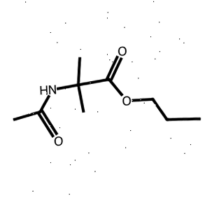 CCCOC(=O)C(C)(C)NC(C)=O